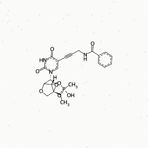 CC[C@]12COC([C@H](n3cc(C#CCNC(=O)c4ccccc4)c(=O)[nH]c3=O)O1)[C@@H]2OP(C)(=O)O